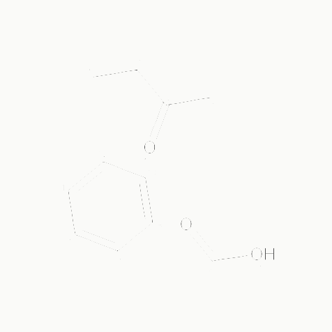 CCC(C)=O.O=CO.c1ccccc1